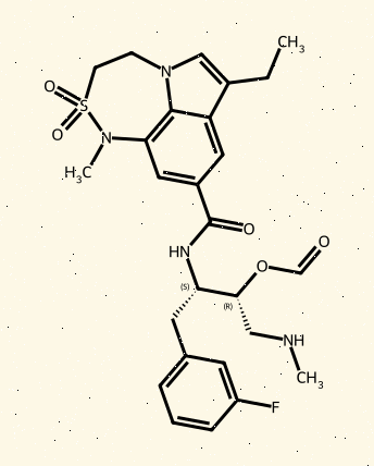 CCc1cn2c3c(cc(C(=O)N[C@@H](Cc4cccc(F)c4)[C@@H](CNC)OC=O)cc13)N(C)S(=O)(=O)CC2